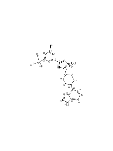 Cl.Cl.Fc1cc(-c2cnc(C3CCN(c4ncnc5[nH]ncc45)CC3)[nH]2)cc(C(F)(F)F)c1